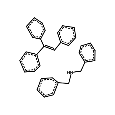 C(=C(c1ccccc1)c1ccccc1)c1ccccc1.c1ccc(CNCc2ccccc2)cc1